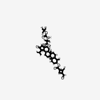 CC(C)C1=C2C3CCC4C(C)(CCC5C(C)C(OC(=O)C6CC(C=O)C6C)CCC54C)C3CCC2(NC(=O)C(C)(C)NC(=O)OC(C)(C)C)CC1=O